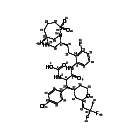 O=C(O)NC(C(=O)Nc1cccc(F)c1CC[C@H]1CN[C@@H]2CCCS(=O)(=O)N1C2)C(c1ccc(Cl)cc1)[C@H]1CCO[C@@H](CC(F)(F)F)C1